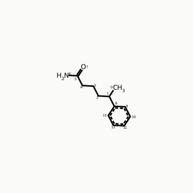 CC(CCCC(N)=O)c1ccccc1